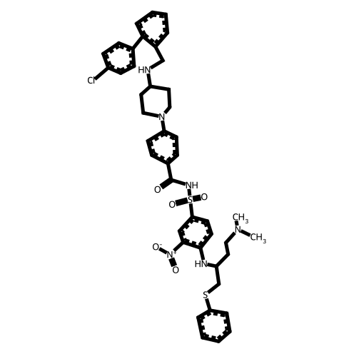 CN(C)CCC(CSc1ccccc1)Nc1ccc(S(=O)(=O)NC(=O)c2ccc(N3CCC(NCc4ccccc4-c4ccc(Cl)cc4)CC3)cc2)cc1[N+](=O)[O-]